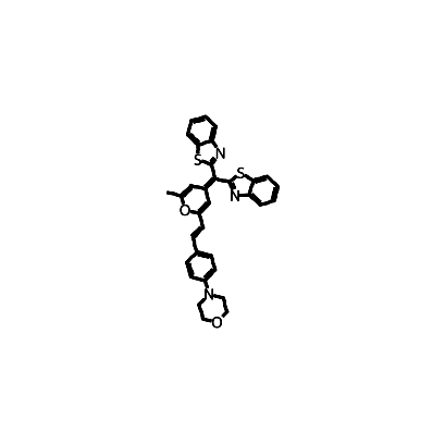 CC1=CC(=C(c2nc3ccccc3s2)c2nc3ccccc3s2)C=C(C=Cc2ccc(N3CCOCC3)cc2)O1